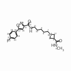 CNC(=O)C1CN(CCCCCNC(=O)c2cc(-c3ccc(F)cc3)on2)C1